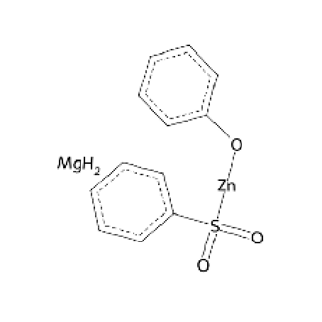 O=[S](=O)([Zn][O]c1ccccc1)c1ccccc1.[MgH2]